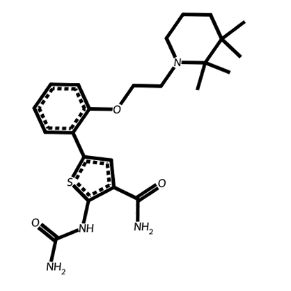 CC1(C)CCCN(CCOc2ccccc2-c2cc(C(N)=O)c(NC(N)=O)s2)C1(C)C